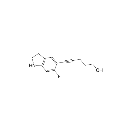 OCCCC#Cc1cc2c(cc1F)NCC2